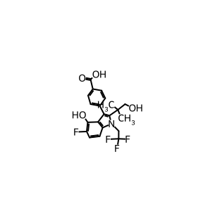 CC(C)(CO)c1c(-c2ccc(C(=O)O)cc2)c2c(O)c(F)ccc2n1CC(F)(F)F